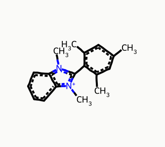 Cc1cc(C)c(-c2n(C)c3ccccc3[n+]2C)c(C)c1